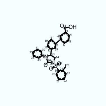 O=C(O)c1cccc(-c2cccc(C3CN(S(=O)(=O)c4ccccc4I)C(=O)N3c3ccccc3)c2)c1